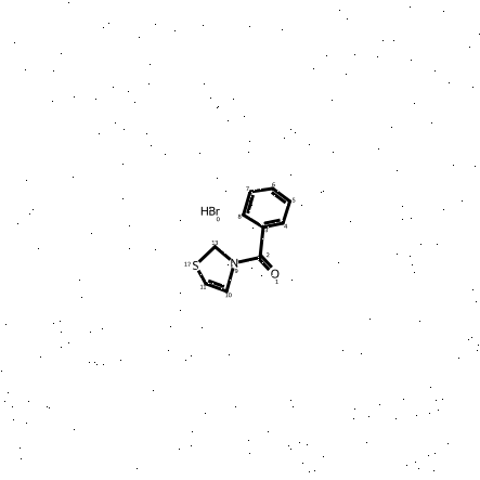 Br.O=C(c1ccccc1)N1C=CSC1